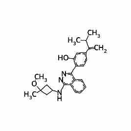 C=C(c1ccc(-c2nnc(NC3CC(C)(OC)C3)c3ccccc23)c(O)c1)C(C)C